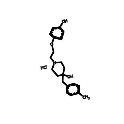 Cc1ccc(CC2(O)CCN(CCOc3ccc(O)cc3)CC2)cc1.Cl